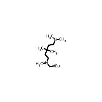 CN(C)CCC(C)(C)CCN(C)CC(C)(C)C